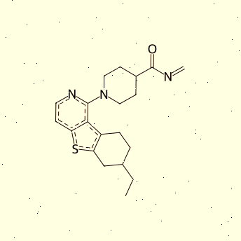 C=NC(=O)C1CCN(c2nccc3sc4c(c23)CCC(CC)C4)CC1